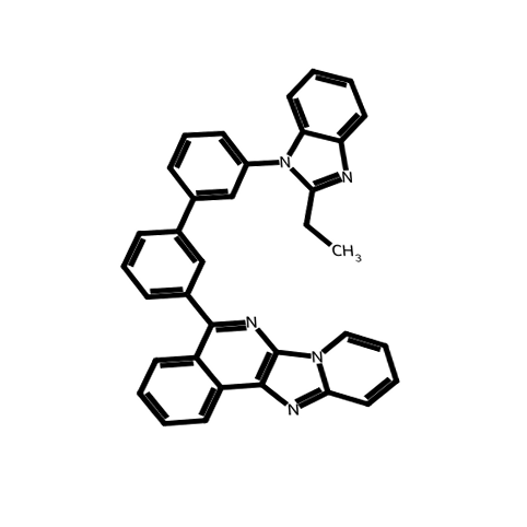 CCc1nc2ccccc2n1-c1cccc(-c2cccc(-c3nc4c(nc5ccccn54)c4ccccc34)c2)c1